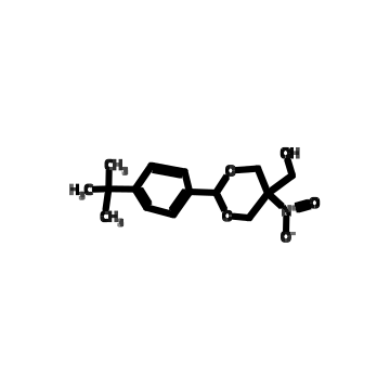 CC(C)(C)c1ccc(C2OCC(CO)([N+](=O)[O-])CO2)cc1